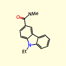 CCn1c2ccccc2c2cc(C(=O)NC)ccc21